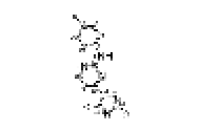 Cc1ccc(Nc2nccc(-c3sc(C)nc3C)n2)cc1